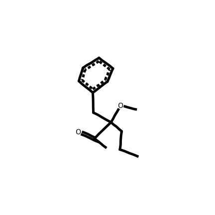 CCCC(Cc1ccccc1)(OC)C(C)=O